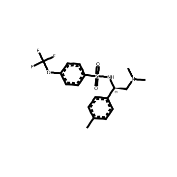 Cc1ccc([C@H](CN(C)C)NS(=O)(=O)c2ccc(OC(F)(F)F)cc2)cc1